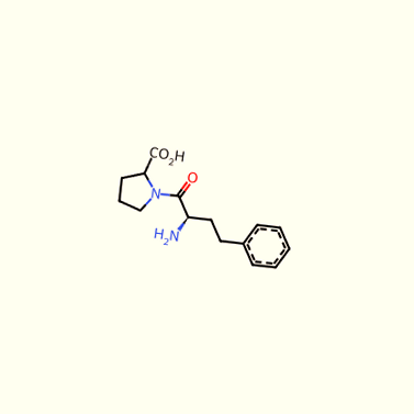 N[C@H](CCc1ccccc1)C(=O)N1CCCC1C(=O)O